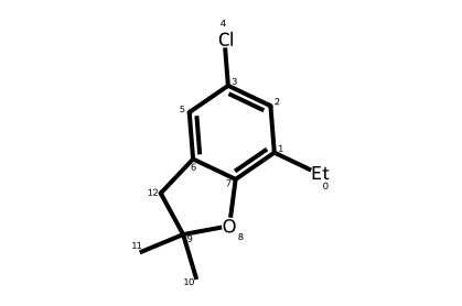 CCc1cc(Cl)cc2c1OC(C)(C)C2